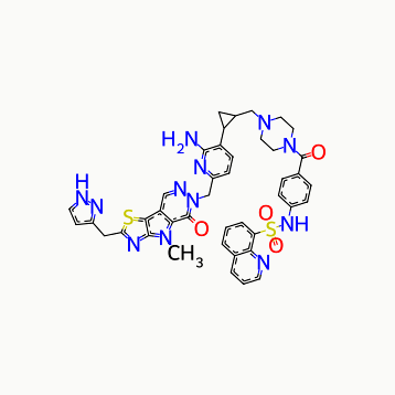 Cn1c2nc(Cc3cc[nH]n3)sc2c2cnn(Cc3ccc(C4CC4CN4CCN(C(=O)c5ccc(NS(=O)(=O)c6cccc7cccnc67)cc5)CC4)c(N)n3)c(=O)c21